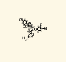 CNCC(=O)NCC1(COc2ccc(C#N)c(F)c2)CN(S(=O)(=O)c2ccc(Cl)cc2Cl)C1